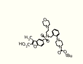 Cc1c(C(=O)O)oc2ccc(S(=O)(=O)N(CCN3CCOCC3)Cc3ccccc3N3CCN(C(=O)OC(C)(C)C)CC3)cc12